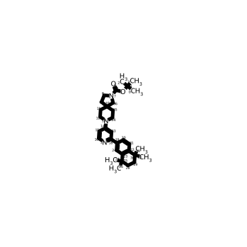 CC(C)(C)OC(=O)N1CCC2(CCN(c3ccnc(-c4ccc5c(c4)C(C)(C)CCC5(C)C)c3)CC2)C1